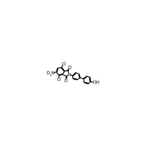 O=C1c2c(Cl)cc([N+](=O)[O-])c(Cl)c2C(=O)N1c1ccc(-c2ccc(O)cc2)cc1